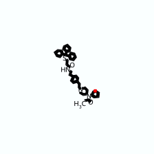 CCC(=O)N(c1ccccc1)C1CCN(CCc2ccc(CCNC(=O)CCSC(c3ccccc3)(c3ccccc3)c3ccccc3)cc2)CC1